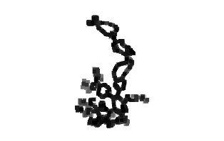 Cc1nc(C)c([C@H](OC(C)(C)C)C(=O)O)c(N2CCC(C)(C)CC2)c1-c1ccc2c(c1)CCN(c1nccc(N3CCS(=O)(=O)CC3)n1)C2